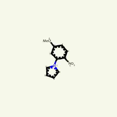 COc1ccc([N+](=O)[O-])c(-n2cccc2)c1